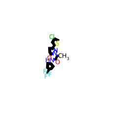 CC(C(=O)Nc1ccc(C(F)(F)F)cc1)n1nc(-c2cc(Cl)cs2)ccc1=O